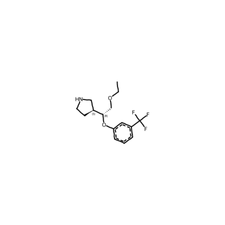 CCOC[C@H](Oc1cccc(C(F)(F)F)c1)[C@H]1CCNC1